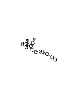 COc1ccc(-c2ccc(C(C)=NOCCOc3ccc(C[C@@](CC[Si](C)(C)C)(Oc4ccc(F)cc4)C(=O)O)cc3)cc2)cc1